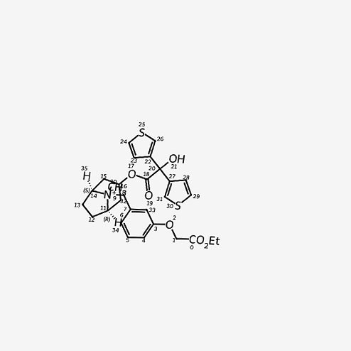 CCOC(=O)COc1cccc(C[N+]2(C)[C@@H]3CC[C@H]2CC(OC(=O)C(O)(c2ccsc2)c2ccsc2)C3)c1